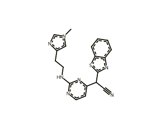 Cn1cnc(CCNc2nccc(C(C#N)c3nc4ccccc4s3)n2)c1